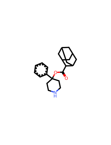 O=C(OC1(c2ccccc2)CCNCC1)C1C2CC3CC(C2)CC1C3